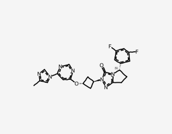 Cc1cn(-c2cc(O[C@H]3C[C@H](n4nc5n(c4=O)[C@H](c4cc(F)cc(F)c4)CC5)C3)ncn2)cn1